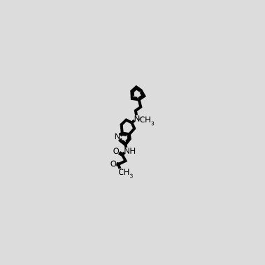 CC(=O)CC(=O)Nc1cnc2c(c1)CC(N(C)CCc1ccccc1)CC2